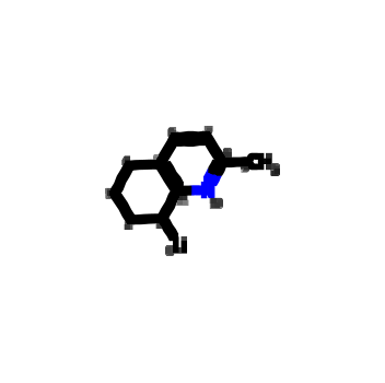 [Li][CH]1CCCc2ccc(C)nc21